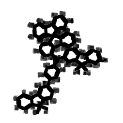 CC1(C)c2ccccc2-c2cc(-c3ccc(N(c4ccc5c(c4)C(C)(C)c4ccccc4-5)c4cccc5c4-c4ccccc4C54c5ccccc5-c5ccccc54)cc3)ccc21